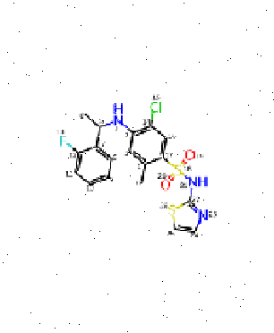 Cc1cc(NC(C)c2ccccc2F)c(Cl)cc1S(=O)(=O)Nc1nccs1